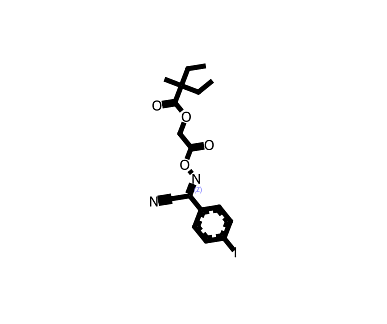 CCC(C)(CC)C(=O)OCC(=O)O/N=C(\C#N)c1ccc(I)cc1